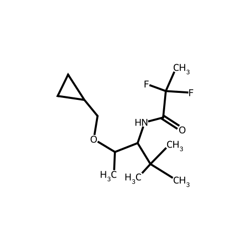 CC(OCC1CC1)C(NC(=O)C(C)(F)F)C(C)(C)C